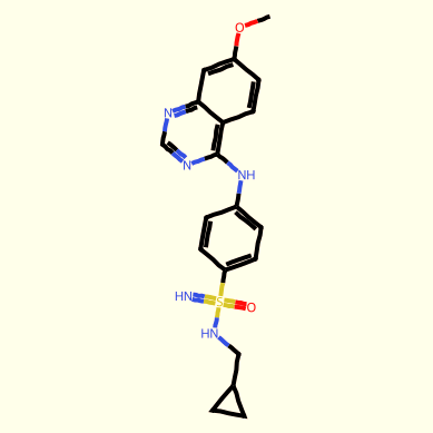 COc1ccc2c(Nc3ccc(S(=N)(=O)NCC4CC4)cc3)ncnc2c1